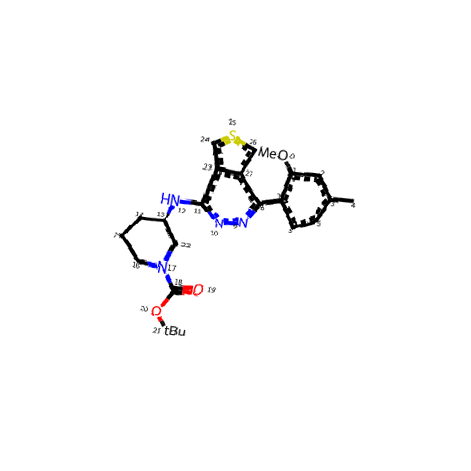 COc1cc(C)ccc1-c1nnc(N[C@@H]2CCCN(C(=O)OC(C)(C)C)C2)c2cscc12